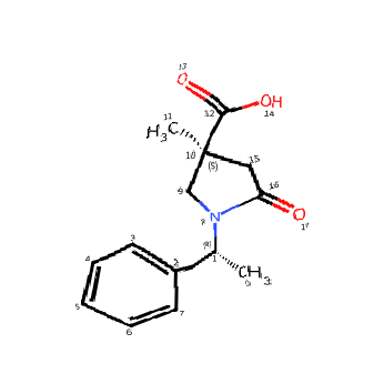 C[C@H](c1ccccc1)N1C[C@@](C)(C(=O)O)CC1=O